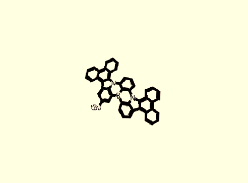 CC(C)(C)c1cc2c3c(c1)c1c4ccccc4c4ccccc4c1n3-c1cccc3c1B2c1cccc2c4c5ccccc5c5ccccc5c4n-3c12